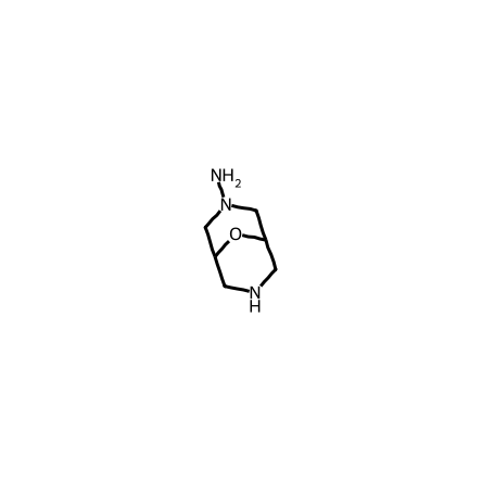 NN1CC2CNCC(C1)O2